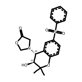 CC1(C)Oc2ccc(S(=O)(=O)c3ccccc3)cc2[C@@H](N2COC(=O)C2)[C@@H]1O